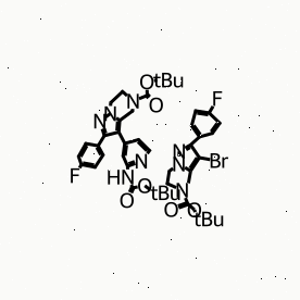 CC(C)(C)OC(=O)N1CCn2nc(-c3ccc(F)cc3)c(Br)c2C1.CC(C)(C)OC(=O)Nc1cc(-c2c(-c3ccc(F)cc3)nn3c2CN(C(=O)OC(C)(C)C)CC3)ccn1